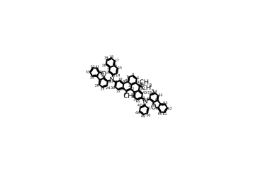 Cc1c2c3c(cccc3c3cc(N(c4ccc5ccccc5c4)c4cccc5c4oc4ccccc45)ccc13)C(C)(C)c1cc(N(c3ccccc3)c3cccc4c3oc3ccccc34)ccc1-2